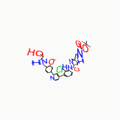 COc1cc(-c2nccc(-c3cccc(NC(=O)c4ccc(CNC(=O)OC(C)(C)C)cn4)c3C)c2Cl)ccc1CNCCO